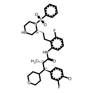 C[C@H](C(=O)Nc1cccc(F)c1CC[C@@H]1CNCCN1S(=O)(=O)c1ccccc1)[C@@H](c1ccc(Cl)c(F)c1)C1CCOCC1